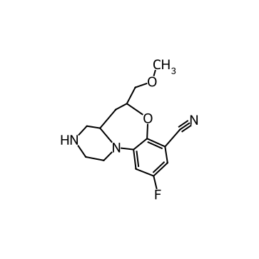 COCC1CC2CNCCN2c2cc(F)cc(C#N)c2O1